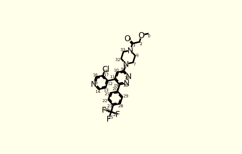 COCC(=O)N1CCN(c2cc(-c3ccncc3Cl)c(-c3ccc(C(F)(F)F)cc3)nn2)CC1